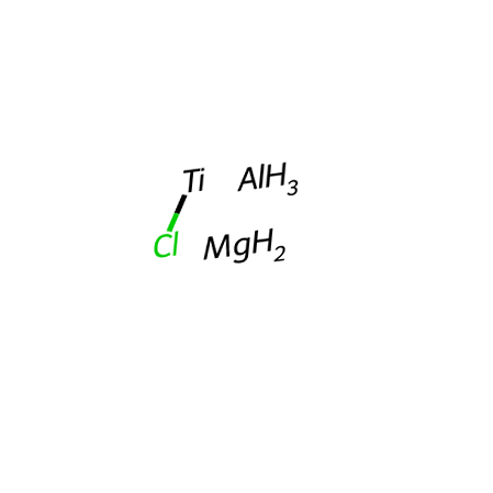 [AlH3].[Cl][Ti].[MgH2]